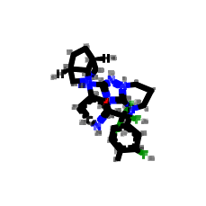 Cc1ccc(N2CCCn3nc(NC4[C@@H]5CC[C@H]4CN(c4ccnc(C(F)(F)F)c4)C5)nc32)cc1F